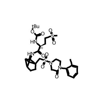 Cc1ccccc1N1CCN(S(=O)(=O)CC23CCC(CC2NC(=O)[C@H](CCS(C)(=O)=O)NC(=O)OC(C)(C)C)C3(C)C)CC1=O